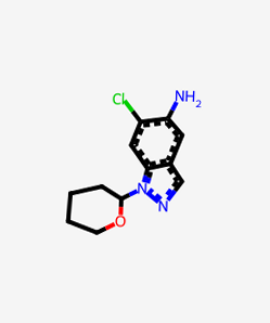 Nc1cc2cnn(C3CCCCO3)c2cc1Cl